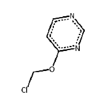 ClCOc1ccncn1